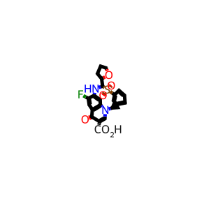 O=C(O)c1cn(C2CC2)c2cc(NC(C3CCCO3)S(=O)(=O)c3ccccc3)c(F)cc2c1=O